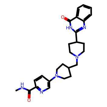 CNC(=O)c1ccc(N2CCC(CN3CCC(c4nc5ccccc5c(=O)[nH]4)CC3)CC2)cn1